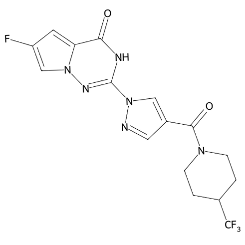 O=C(c1cnn(-c2nn3cc(F)cc3c(=O)[nH]2)c1)N1CCC(C(F)(F)F)CC1